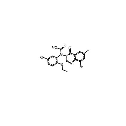 CCSc1ccc(Cl)cc1N(C(=O)O)n1cnc2c(Br)cc(C)cc2c1=O